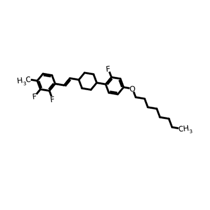 CCCCCCCCOc1ccc(C2CCC(/C=C/c3ccc(C)c(F)c3F)CC2)c(F)c1